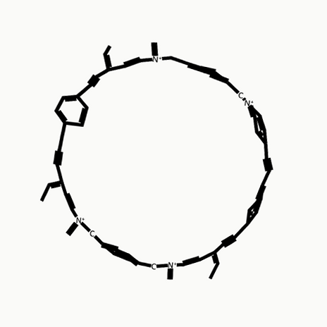 C=[N+]1/C=C\C(=C/C)C#Cc2ccc(cc2)C#CC(=C/C)/C=C\[N+](=C)Cc2ccc(cc2)C[n+]2ccc(cc2)C#Cc2ccc(cc2)C#CC(=C/C)/C=C\[N+](=C)Cc2ccc(cc2)C1